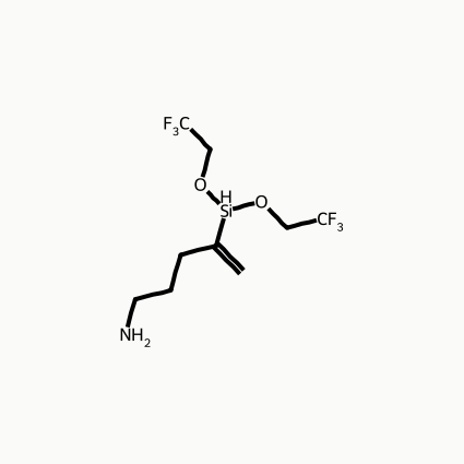 C=C(CCCN)[SiH](OCC(F)(F)F)OCC(F)(F)F